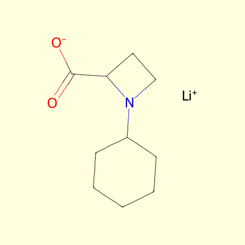 O=C([O-])C1CCN1C1CCCCC1.[Li+]